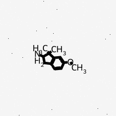 COc1ccc2c(c1)C(C)(C)C(N)C2